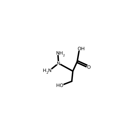 NN(N)C(CO)C(=O)O